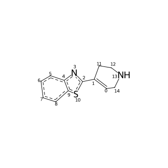 C1=C(c2nc3ccccc3s2)CCNC1